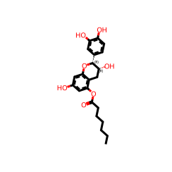 CCCCCCC(=O)Oc1cc(O)cc2c1C[C@@H](O)[C@@H](c1ccc(O)c(O)c1)O2